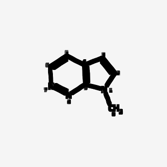 Cn1ccc2ccnnc21